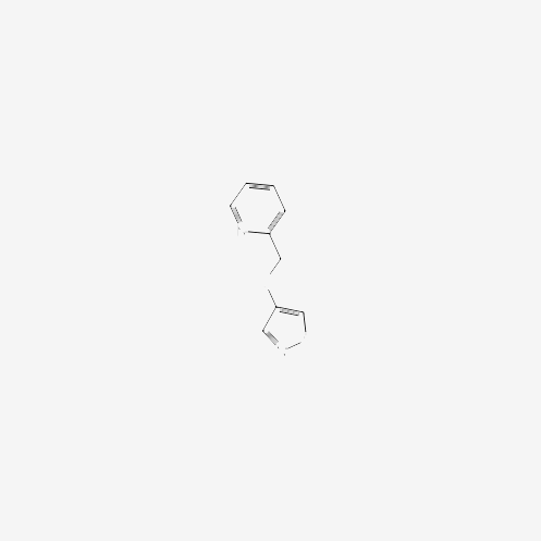 [c]1nscc1OCc1ccccn1